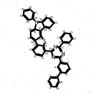 c1ccc(-c2cccc(-c3nc(-c4ccccc4)nc(-c4cccc5c4sc4c5ccc5c4c4ccccc4n5-c4ccccc4)n3)c2)cc1